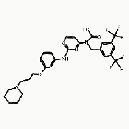 O=C(O)N(Cc1cc(C(F)(F)F)cc(C(F)(F)F)c1)c1ccnc(Nc2cccc(OCCCN3CCCCC3)c2)n1